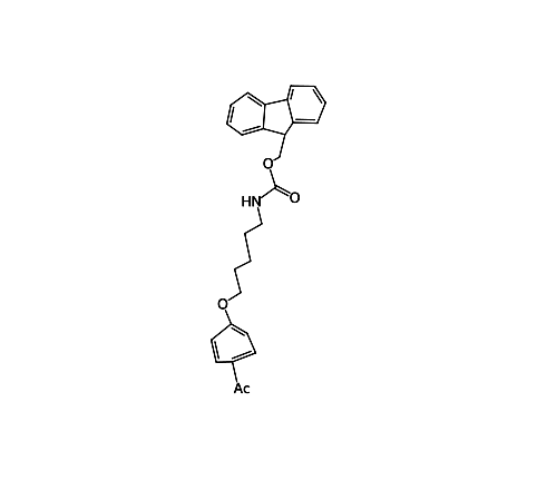 CC(=O)c1ccc(OCCCCCNC(=O)OCC2c3ccccc3-c3ccccc32)cc1